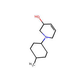 CC1CCC(N2CC=CC(O)C2)CC1